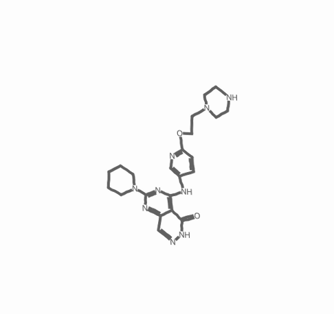 O=c1[nH]ncc2nc(N3CCCCC3)nc(Nc3ccc(OCCN4CCNCC4)nc3)c12